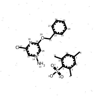 Cc1cc(C)c(S(=O)(=O)[O-])c(C)c1.N[n+]1cc(Cl)nc(OCc2ccccc2)c1